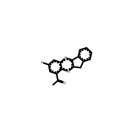 CC(=O)c1cc(F)cc2nc3c(nc12)Cc1ccccc1-3